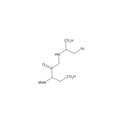 CNC(CC(=O)O)C(=O)CNC(CC(C)=O)C(=O)O